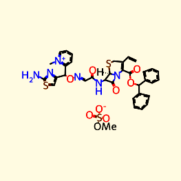 C=CC1=C(C(=O)OC(c2ccccc2)c2ccccc2)N2C(=O)C(NC(=O)C=NOC(c3csc(N)n3)c3cccc[n+]3C)[C@H]2SC1.COS(=O)(=O)[O-]